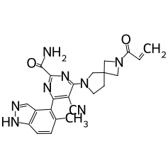 C=CC(=O)N1CC2(CCN(c3nc(C(N)=O)nc(-c4c(C)ccc5[nH]ncc45)c3C#N)C2)C1